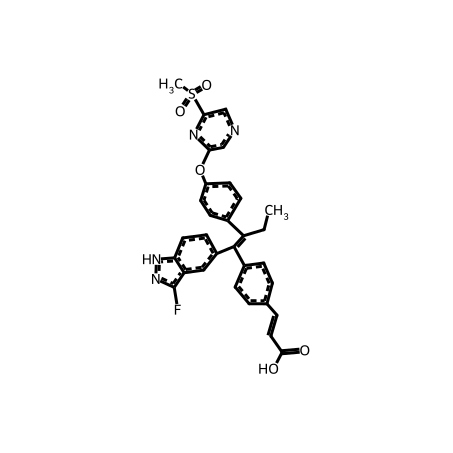 CCC(=C(c1ccc(C=CC(=O)O)cc1)c1ccc2[nH]nc(F)c2c1)c1ccc(Oc2cncc(S(C)(=O)=O)n2)cc1